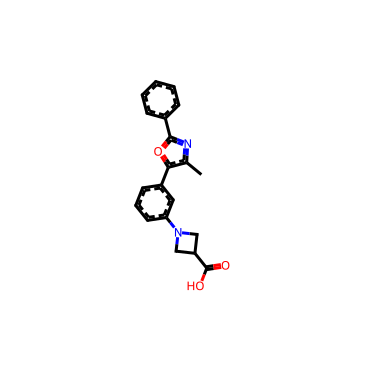 Cc1nc(-c2ccccc2)oc1-c1cccc(N2CC(C(=O)O)C2)c1